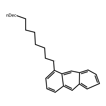 CCCCCCCCCCCCCCCC[CH]c1cccc2cc3ccccc3cc12